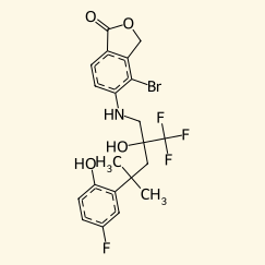 CC(C)(CC(O)(CNc1ccc2c(c1Br)COC2=O)C(F)(F)F)c1cc(F)ccc1O